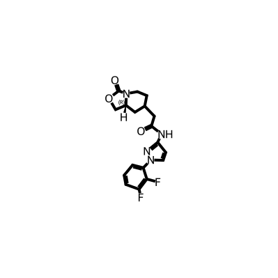 O=C(CC1CCN2C(=O)OC[C@H]2C1)Nc1ccn(-c2cccc(F)c2F)n1